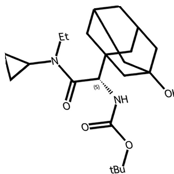 CCN(C(=O)[C@@H](NC(=O)OC(C)(C)C)C12CC3CC(CC(O)(C3)C1)C2)C1CC1